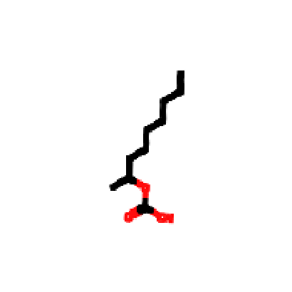 CCCCCCCC(C)OC(=O)O